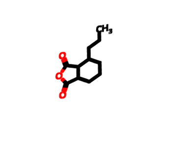 CCCC1CCCC2C(=O)OC(=O)C12